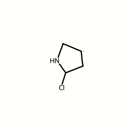 ClC1C[CH]CN1